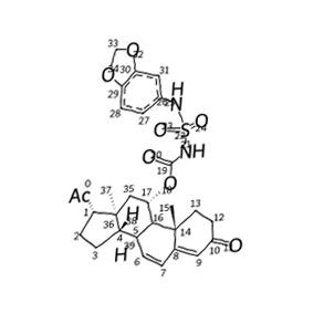 CC(=O)[C@H]1CC[C@H]2[C@@H]3C=CC4=CC(=O)CC[C@@]4(C)C3[C@@H](OC(=O)NS(=O)(=O)Nc3ccc4c(c3)OCO4)C[C@]12C